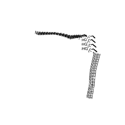 C=CC(=O)O.C=CC(=O)O.C=CC(=O)O.C=CC(=O)O.C=CC(=O)O.[NaH].[NaH].[NaH].[NaH].[NaH].[NaH].[NaH].[NaH].[NaH].[NaH].[NaH].[NaH].[NaH].[NaH].[NaH].[NaH].[NaH].[NaH].[NaH].[NaH].[NaH].[NaH].[NaH].[NaH].[NaH].[NaH].[NaH].[NaH].[NaH].[NaH].[NaH].[NaH].[NaH].[NaH].[NaH].[NaH].[NaH]